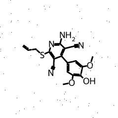 C=CCSc1nc(N)c(C#N)c(-c2cc(OC)c(O)c(OC)c2)c1C#N